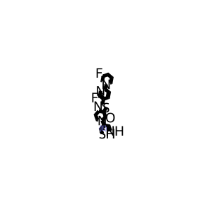 N=C/C(=C\S)N1CCC2N=C(c3ccc(N4CCCC(F)C4)nc3F)SC2C1=O